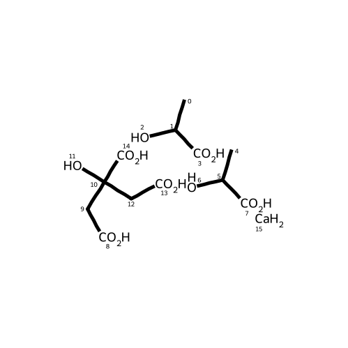 CC(O)C(=O)O.CC(O)C(=O)O.O=C(O)CC(O)(CC(=O)O)C(=O)O.[CaH2]